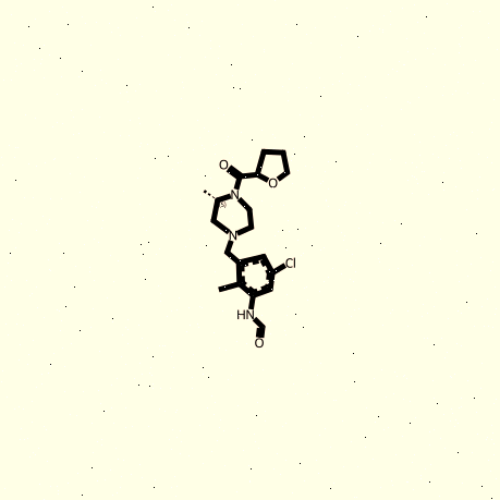 Cc1c(CN2CCN(C(=O)C3CCCO3)[C@@H](C)C2)cc(Cl)cc1NC=O